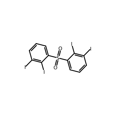 O=S(=O)(c1cccc(I)c1I)c1cccc(I)c1I